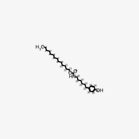 CCCCCCCCCCCCCCOC(=O)NCCCCCCc1ccc(O)cc1